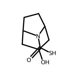 O=C(S)N1C2CCC1CC(O)C2